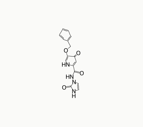 O=C(Nn1cc[nH]c1=O)c1cc(=O)c(OCc2ccccc2)c[nH]1